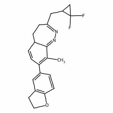 CC1=C(c2ccc3c(c2)CCO3)C=CC2CCC(CC3CC3(F)F)=NN=C12